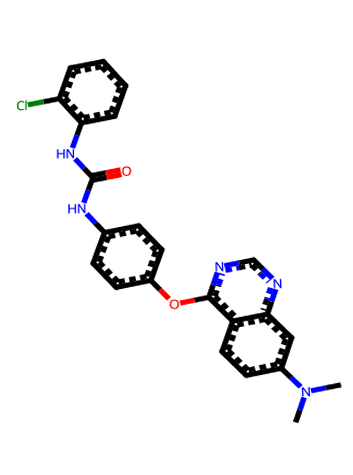 CN(C)c1ccc2c(Oc3ccc(NC(=O)Nc4ccccc4Cl)cc3)ncnc2c1